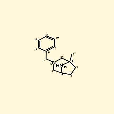 CC12CCC(CN(Cc3ccccc3)C1)N2